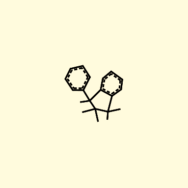 CC1(C)c2ccccc2C(C)(c2ccccc2)C1(C)C